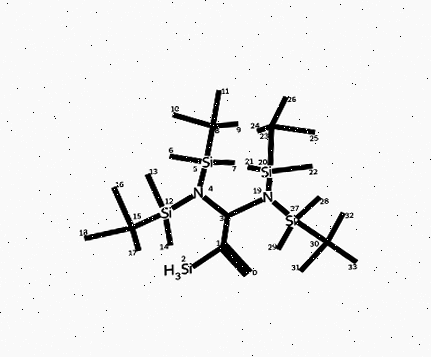 C=C([SiH3])C(N([Si](C)(C)C(C)(C)C)[Si](C)(C)C(C)(C)C)N([Si](C)(C)C(C)(C)C)[Si](C)(C)C(C)(C)C